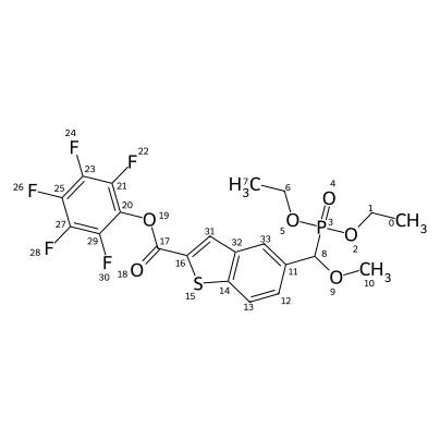 CCOP(=O)(OCC)C(OC)c1ccc2sc(C(=O)Oc3c(F)c(F)c(F)c(F)c3F)cc2c1